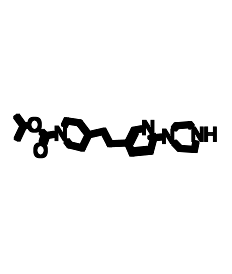 CC(C)OC(=O)N1CCC(CCc2ccc(N3CCNCC3)nc2)CC1